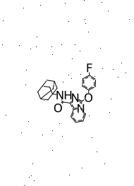 O=C(NC12CC3CC(CC(C3)C1)C2)c1nc(Oc2ccc(F)cc2)n2ccccc12